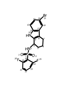 O=S(=O)(NC1CCCc2c1[nH]c1ccc(Br)cc21)c1c(F)cccc1F